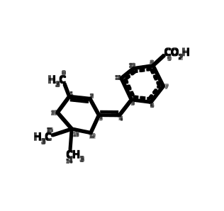 CC1=C/C(=C\c2ccc(C(=O)O)cc2)CC(C)(C)C1